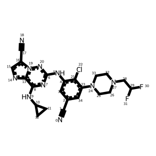 N#Cc1cc(Nc2nc(NC3CC3)c3ncc(C#N)n3n2)c(Cl)c(N2CCN(CC(F)F)CC2)c1